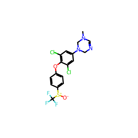 CN1C=NCN(c2cc(Cl)c(Oc3ccc([S+]([O-])C(F)(F)F)cc3)c(Cl)c2)C1